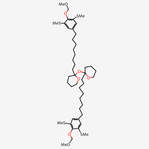 COCOc1c(SC)cc(CCCCCCCCC2(OC3(CCCCCCCCc4cc(SC)c(OCOC)c(SC)c4)CCCCO3)CCCCO2)cc1SC